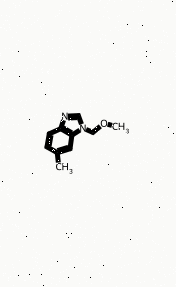 COCn1cnc2ccc(C)cc21